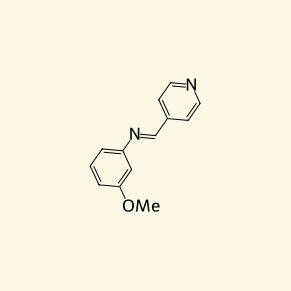 COc1cccc(N=Cc2ccncc2)c1